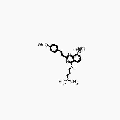 COc1ccc(C=Cc2nc(NCCCN(C)C)c3ccccc3n2)cc1.Cl.Cl.O